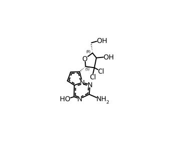 Nc1nc(O)c2ccc([C@@H]3O[C@H](CO)C(O)C3(Cl)Cl)n2n1